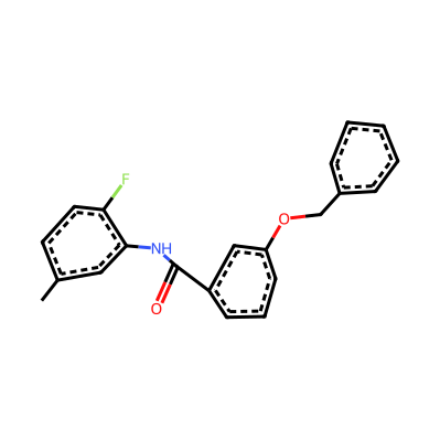 Cc1ccc(F)c(NC(=O)c2cccc(OCc3ccccc3)c2)c1